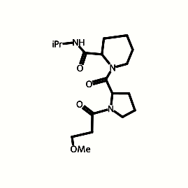 COCCC(=O)N1CCCC1C(=O)N1CCCCC1C(=O)NC(C)C